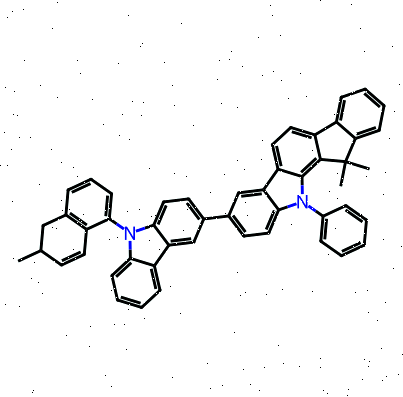 CC1C=Cc2c(cccc2-n2c3ccccc3c3cc(-c4ccc5c(c4)c4ccc6c(c4n5-c4ccccc4)C(C)(C)c4ccccc4-6)ccc32)C1